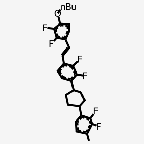 CCCCOc1ccc(/C=C/c2ccc(C3CCC(c4ccc(C)c(F)c4F)CC3)c(F)c2F)c(F)c1F